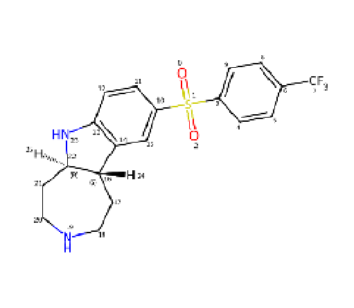 O=S(=O)(c1ccc(C(F)(F)F)cc1)c1ccc2c(c1)[C@@H]1CCNCC[C@H]1N2